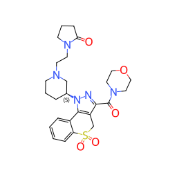 O=C1CCCN1CCN1CCC[C@H](n2nc(C(=O)N3CCOCC3)c3c2-c2ccccc2S(=O)(=O)C3)C1